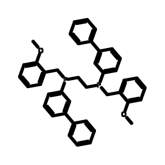 COc1ccccc1CP(CCP(Cc1ccccc1OC)c1cccc(-c2ccccc2)c1)c1cccc(-c2ccccc2)c1